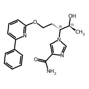 C[C@H](O)[C@@H](CCOc1cccc(-c2ccccc2)n1)n1cnc(C(N)=O)c1